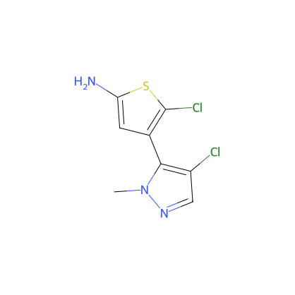 Cn1ncc(Cl)c1-c1cc(N)sc1Cl